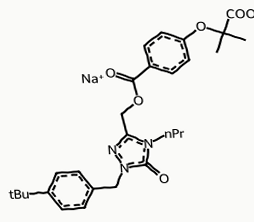 CCCn1c(COC(=O)c2ccc(OC(C)(C)C(=O)[O-])cc2)nn(Cc2ccc(C(C)(C)C)cc2)c1=O.[Na+]